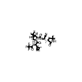 CC1(C)C[C@@H](C[C@@H](C#N)NC(=O)[C@@H]2[C@@H]3[C@H](CN2C(=O)C(NC(=O)C(F)(F)F)C24CC(C2)C4)C3(C)C)C(=O)N1